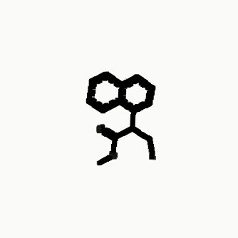 [CH2]CC(C(=O)OC)c1cccc2ccccc12